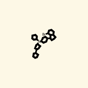 Brc1cccc2cccc(-c3ccc(N(c4ccccc4)c4ccc(-c5ccccc5)cc4)cc3)c12